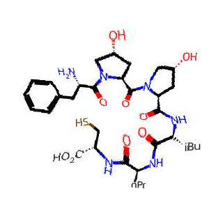 CCC[C@H](NC(=O)[C@@H](NC(=O)[C@@H]1C[C@@H](O)CN1C(=O)[C@@H]1C[C@@H](O)CN1C(=O)[C@@H](N)Cc1ccccc1)[C@@H](C)CC)C(=O)N[C@@H](CS)C(=O)O